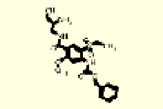 CCC(N)CNC(=O)c1cc(S(=O)(=O)CC)c(NC(=O)OCc2ccccc2)cc1OC